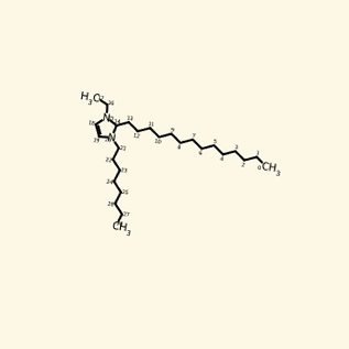 CCCCCCCCCCCCCCC1N(CC)C=CN1CCCCCCCC